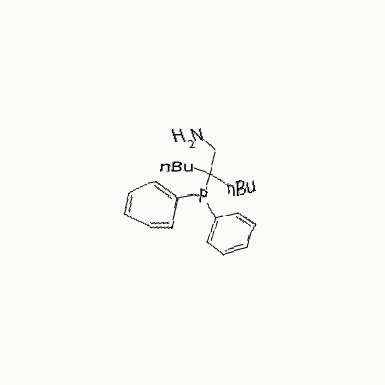 CCCCC(CN)(CCCC)P(c1ccccc1)c1ccccc1